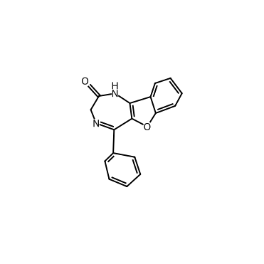 O=C1CN=C(c2ccccc2)c2oc3ccccc3c2N1